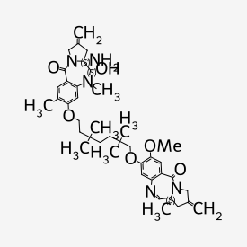 C=C1CN2C(=O)c3cc(C)c(OCCC(C)(C)CCC(C)(C)COc4cc5c(cc4OC)C(=O)N4CC(=C)C[C@@]4(C)C=N5)cc3N(C)[C@@H](O)[C@]2(N)C1